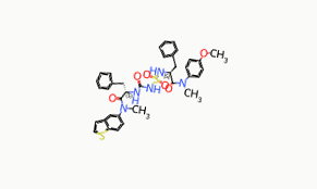 COc1ccc(N(C)C(=O)[C@H](Cc2ccccc2)NS(=O)(=O)NC(=O)N[C@@H](Cc2ccccc2)C(=O)N(C)c2ccc3sccc3c2)cc1